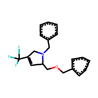 FC(F)(F)C1=CC(COCc2ccccc2)N(Cc2ccccc2)C1